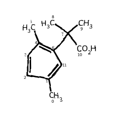 Cc1ccc(C)c(C(C)(C)C(=O)O)c1